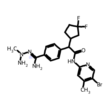 Cc1cc(NC(=O)C(c2ccc(/C(N)=N/N(C)N)cc2)C2CCC(F)(F)C2)ncc1Br